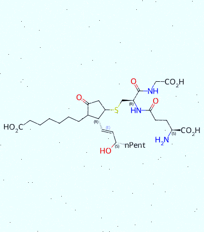 CCCCC[C@H](O)/C=C/[C@H]1C(SC[C@H](NC(=O)CC[C@H](N)C(=O)O)C(=O)NCC(=O)O)CC(=O)C1CCCCCCC(=O)O